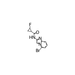 O=C(Nc1cn2c(Br)cccc2n1)C1CC1F